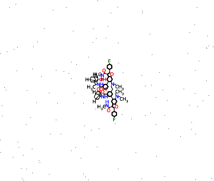 CCN(CC)c1cc2oc(-c3ccc(F)cc3)c(C(=O)NC)c2cc1-c1cc(CCN(CC)c2cc3oc(-c4ccc(F)cc4)c(C(=O)NC)c3cc2-c2cccc(C(=O)NC(C)[C@@]34C[C@@H]5C[C@@H](C[C@@](O)(C5)C3)C4)c2)cc(C(=O)N[C@@]23C[C@@H]4C[C@@H](C[C@@](O)(C4)C2)C3)c1